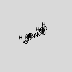 Nc1ncnc2c1c(-c1ccc(Oc3ccccc3)cc1)nn2C1CCN(C2CCN(C3CN(c4ccc5c(c4)C(=O)N(C4CCC(=O)NC4O)C5=O)C3)CC2)CC1F